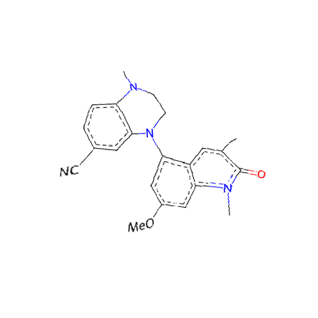 COc1cc(N2CCN(C)c3ccc(C#N)cc32)c2cc(C)c(=O)n(C)c2c1